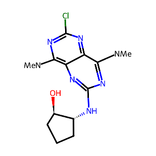 CNc1nc(N[C@@H]2CCC[C@H]2O)nc2c(NC)nc(Cl)nc12